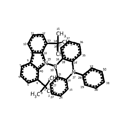 CC(C)(C)c1cccc2c3cccc(C(C)(C)C)c3n(B3c4ccccc4N(c4ccccc4)c4ccccc43)c12